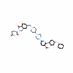 NC(=O)c1ccc(N2CCN(C3CCN(Cc4cc(F)c5c(c4)CN(C4CCC(=O)NC4=O)C5=O)CC3)CC2)nc1-c1ccc(Oc2ccccc2)cc1